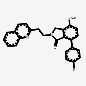 COc1ccc(-c2ccc(F)cc2)c2c1CN(CCc1ccc3ccccc3n1)C2=O